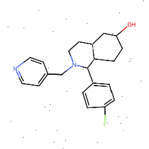 OC1CCC2C(CCN(Cc3ccncc3)C2c2ccc(F)cc2)C1